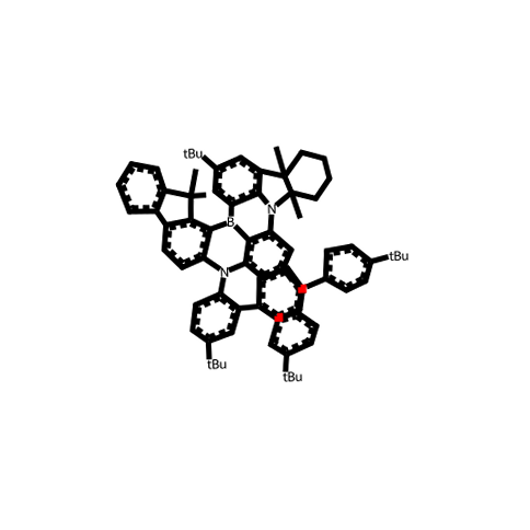 CC(C)(C)c1ccc(N(c2ccc(C(C)(C)C)cc2)c2cc3c4c(c2)N2c5c(cc(C(C)(C)C)cc5C5(C)CCCCC25C)B4c2c(ccc4c2C(C)(C)c2ccccc2-4)N3c2ccc(C(C)(C)C)cc2-c2ccccc2)cc1